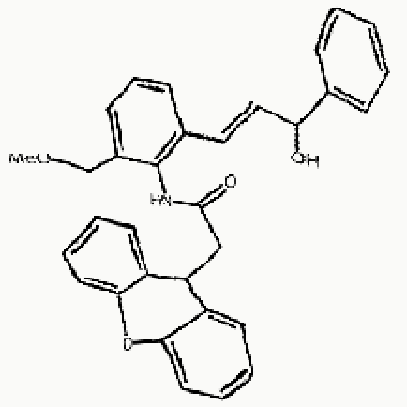 COCc1cccc(C=CC(O)c2ccccc2)c1NC(=O)CC1c2ccccc2Oc2ccccc21